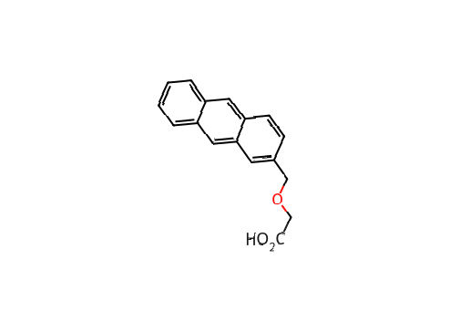 O=C(O)COCc1ccc2cc3ccccc3cc2c1